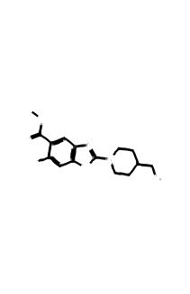 COC(=O)c1cc2nc(N3CCC(CO)CC3)oc2cc1Br